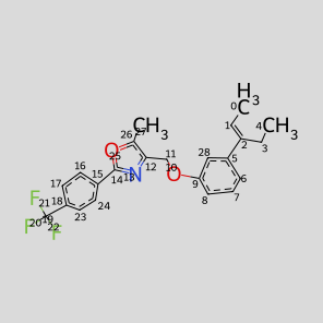 CC=C(CC)c1cccc(OCc2nc(-c3ccc(C(F)(F)F)cc3)oc2C)c1